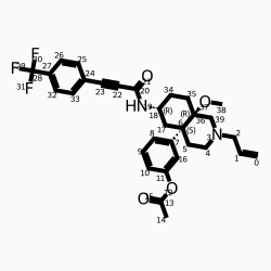 C=CCN1CC[C@@]2(c3cccc(OC(C)=O)c3)C[C@H](NC(=O)C#Cc3ccc(C(F)(F)F)cc3)CC[C@]2(OC)C1